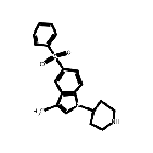 Cc1cn(C2CCNCC2)c2ccc(S(=O)(=O)c3ccccc3)cc12